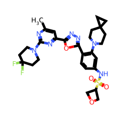 Cc1cc(-c2nnc(-c3ccc(NS(=O)(=O)C4COC4)cc3N3CCC4(CC3)CC4)o2)nc(N2CCC(F)(F)CC2)n1